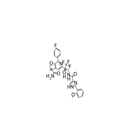 COc1ccccc1-c1nc(C(=O)NC[C@](O)(c2cc3c(c(-c4ccc(F)cc4)n2)OC[C@]3(C)C(N)=O)C(F)(F)F)c[nH]1